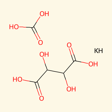 O=C(O)C(O)C(O)C(=O)O.O=C(O)O.[KH]